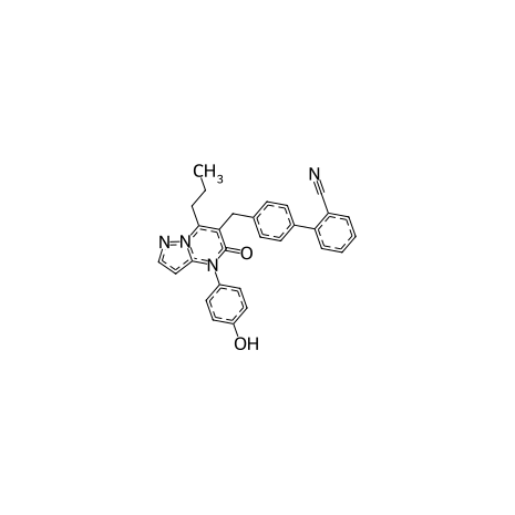 CCCc1c(Cc2ccc(-c3ccccc3C#N)cc2)c(=O)n(-c2ccc(O)cc2)c2ccnn12